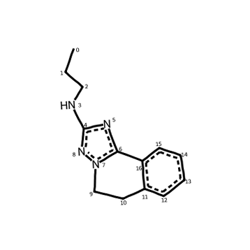 CCCNc1nc2n(n1)CCc1ccccc1-2